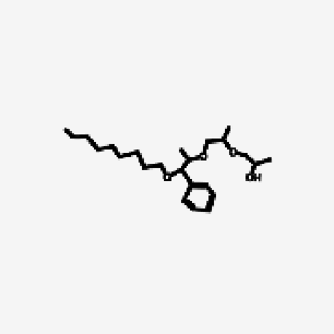 CCCCCCCCCOC(c1ccccc1)C(C)OCC(C)OCC(C)O